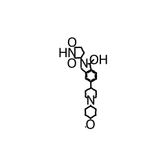 COC1CCC(N2CCC(c3ccc4c(c3)CN(C3CCC(=O)NC3=O)C4O)CC2)CC1